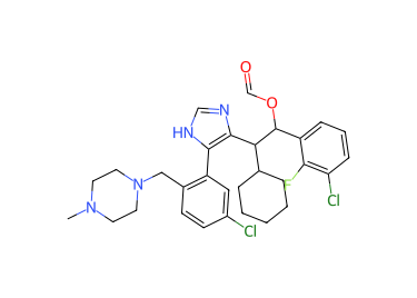 CN1CCN(Cc2ccc(Cl)cc2-c2[nH]cnc2C(C2CCCCC2)C(OC=O)c2cccc(Cl)c2F)CC1